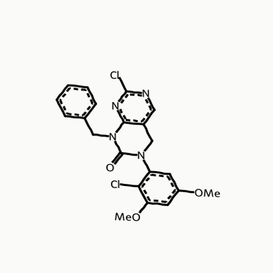 COc1cc(OC)c(Cl)c(N2Cc3cnc(Cl)nc3N(Cc3ccccc3)C2=O)c1